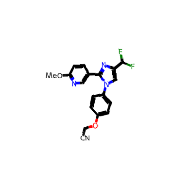 COc1ccc(-c2nc(C(F)F)cn2-c2ccc(OCC#N)cc2)cn1